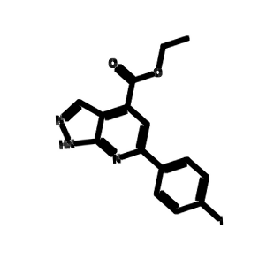 CCOC(=O)c1cc(-c2ccc(I)cc2)nc2[nH]ncc12